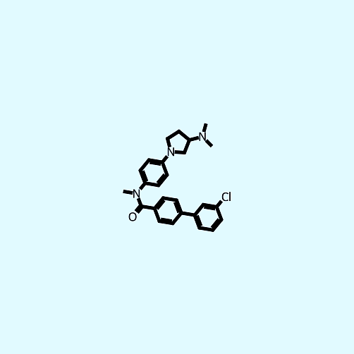 CN(C(=O)c1ccc(-c2cccc(Cl)c2)cc1)c1ccc(N2CCC(N(C)C)C2)cc1